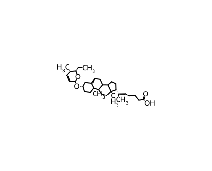 CC[C@H]1OC(O[C@H]2CC[C@@]3(C)C(=CCC4C3CC[C@@]3(C)C4CC[C@@H]3/C(C)=C/CCCC(=O)O)C2)C=C[C@@H]1C